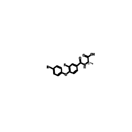 C[C@H](NC(=O)c1ccc(Oc2ccc(Br)cc2)c(F)c1)C(=O)O